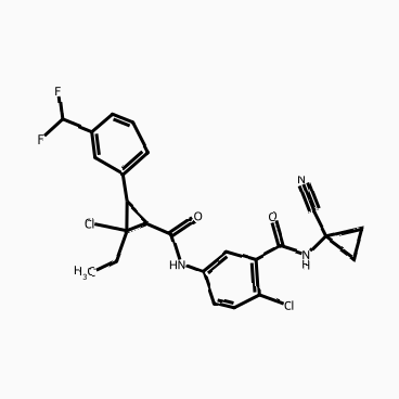 CCC1(Cl)C(C(=O)Nc2ccc(Cl)c(C(=O)NC3(C#N)CC3)c2)C1c1cccc(C(F)F)c1